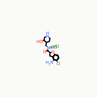 Cl.Cl.Nc1c(Cl)ccc2c1CC(C(=O)NCC1CCNCC1O)O2